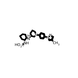 Cc1cnn(-c2ccc(N3CCC[C@H](N[C@@H]4CCCC[C@H]4NC(=O)O)C3)cc2)c1